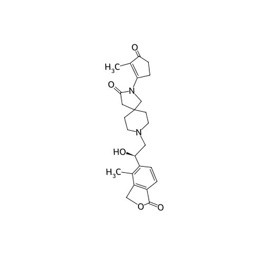 CC1=C(N2CC3(CCN(C[C@H](O)c4ccc5c(c4C)COC5=O)CC3)CC2=O)CCC1=O